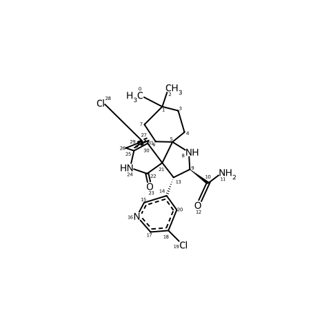 CC1(C)CCC2(CC1)N[C@@H](C(N)=O)[C@H](c1cncc(Cl)c1)C21C(=O)Nc2cc(Cl)ccc21